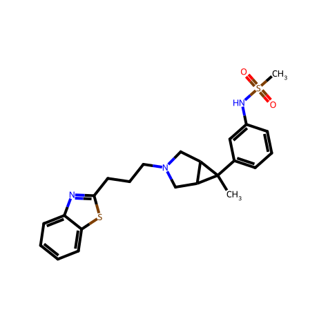 CC1(c2cccc(NS(C)(=O)=O)c2)C2CN(CCCc3nc4ccccc4s3)CC21